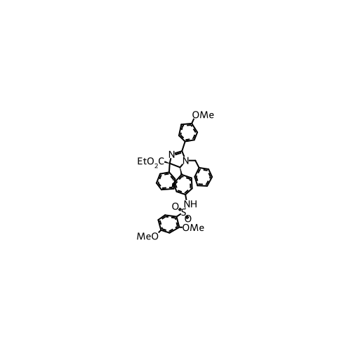 CCOC(=O)[C@@]1(c2ccccc2)N=C(c2ccc(OC)cc2)N(Cc2ccccc2)[C@H]1c1ccc(NS(=O)(=O)c2ccc(OC)cc2OC)cc1